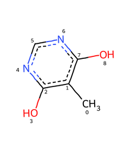 Cc1c(O)ncnc1O